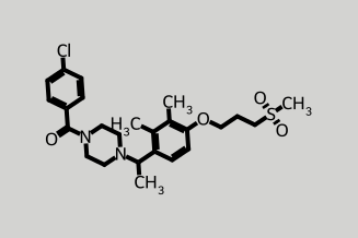 Cc1c(OCCCS(C)(=O)=O)ccc(C(C)N2CCN(C(=O)c3ccc(Cl)cc3)CC2)c1C